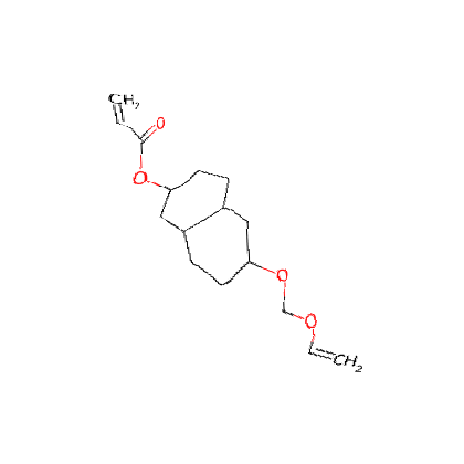 C=COCOC1CCC2CC(OC(=O)C=C)CCC2C1